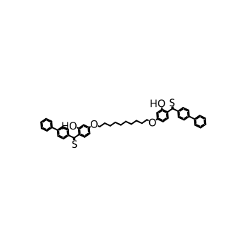 Oc1cc(OCCCCCCCCCCOc2ccc(C(=S)c3ccc(-c4ccccc4)cc3)c(O)c2)ccc1C(=S)c1ccc(-c2ccccc2)cc1